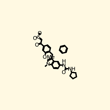 COc1cc(C(=O)C=S(=O)=O)ccc1Cc1cn(C)c2ccc(NC(=O)NC3CCCC3)cc12.c1ccccc1